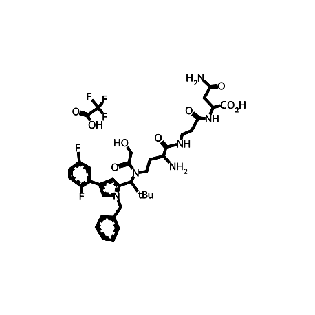 CC(C)(C)C(c1cc(-c2cc(F)ccc2F)cn1Cc1ccccc1)N(CCC(N)C(=O)NCCC(=O)NC(CC(N)=O)C(=O)O)C(=O)CO.O=C(O)C(F)(F)F